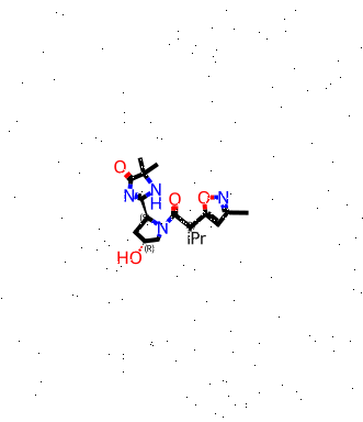 Cc1cc([C@H](C(=O)N2C[C@H](O)C[C@H]2C2=NC(=O)C(C)(C)N2)C(C)C)on1